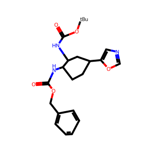 CC(C)(C)OC(=O)NC1CC(c2cnco2)CCC1NC(=O)OCc1ccccc1